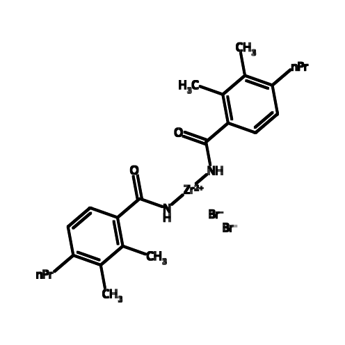 CCCc1ccc(C(=O)[NH][Zr+2][NH]C(=O)c2ccc(CCC)c(C)c2C)c(C)c1C.[Br-].[Br-]